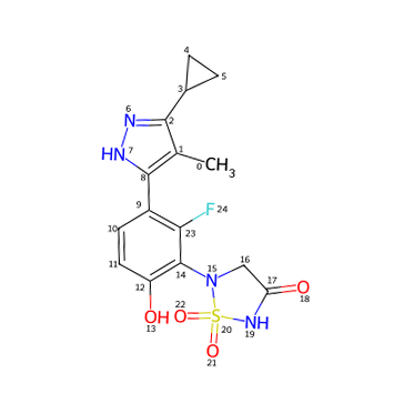 Cc1c(C2CC2)n[nH]c1-c1ccc(O)c(N2CC(=O)NS2(=O)=O)c1F